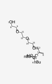 C=C(C)C(=O)O.CCCCOCCCC.OCCOCCOCCO